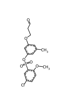 COc1ccc(Cl)cc1S(=O)(=O)Oc1cc(C)cc(OCCC=O)c1